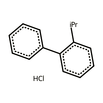 CC(C)c1ccccc1-c1ccccc1.Cl